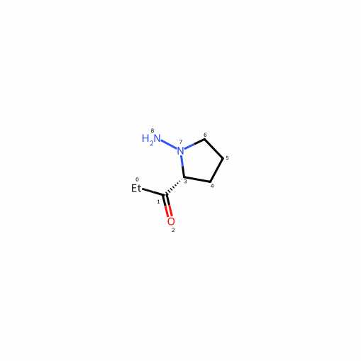 CCC(=O)[C@H]1CCCN1N